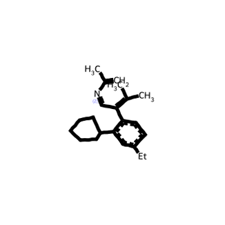 C=C(C)/N=C\C(=C(C)C)c1ccc(CC)cc1C1CCCCC1